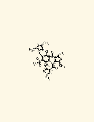 Cc1cc(C)n(Cc2c(S(C)(=O)=O)ccc(C(=O)c3c(C)nn(C)c3OC(=O)c3cn(C)nc3C)c2Cl)n1